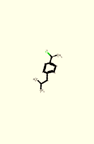 CC(C)Cc1ccc([C@H](C)Cl)cc1